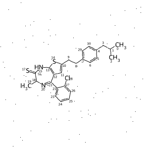 CC(C)Cc1ccc(CCc2cc3c(s2)NC(=S)C(C)N=C3c2ccccc2Cl)cc1